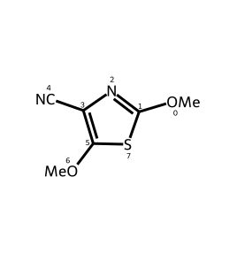 COc1nc(C#N)c(OC)s1